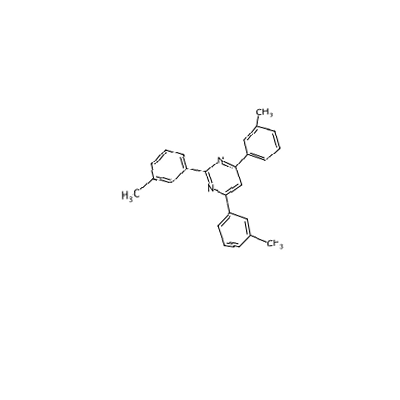 Cc1cccc(-c2cc(-c3cccc(C)c3)nc(-c3cccc(C)c3)n2)c1